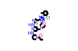 C=CC(=O)N1CCC[C@H](Nc2cc(CN3CCOCC3)cc(Nc3ncc(-c4nnn(-c5c(C)cccc5Cl)n4)s3)n2)C1